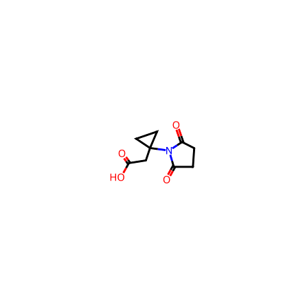 O=C(O)CC1(N2C(=O)CCC2=O)CC1